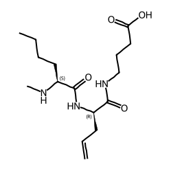 C=CC[C@@H](NC(=O)[C@H](CCCC)NC)C(=O)NCCCC(=O)O